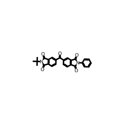 CC(C)(C)N1C(=O)c2ccc(C(=O)c3ccc4c(c3)C(=O)N(c3ccccc3)C4=O)cc2C1=O